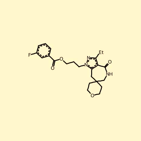 CCc1nn(CCCOC(=O)c2cccc(F)c2)c2c1C(=O)NCC1(CCOCC1)C2